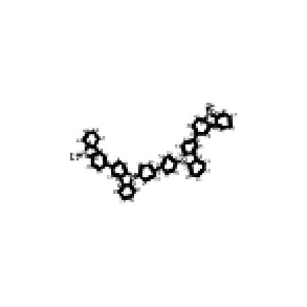 CCn1c2c(c3cc(-c4ccc5c(c4)c4ccccc4n5-c4ccc(-c5ccc(-n6c7ccccc7c7cc(-c8ccc9c(c8)c8ccccc8n9CC)ccc76)cc5)cc4)ccc31)CCC=C2